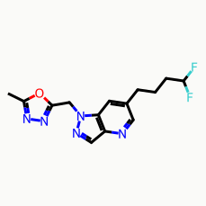 Cc1nnc(Cn2ncc3ncc(CCCC(F)F)cc32)o1